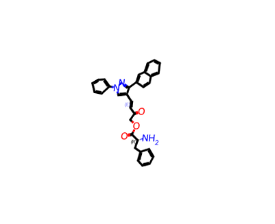 N[C@H](Cc1ccccc1)C(=O)OCC(=O)/C=C/c1cn(-c2ccccc2)nc1-c1ccc2ccccc2c1